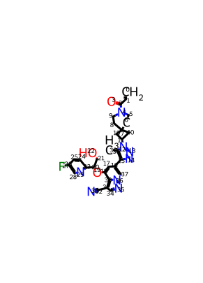 C=CC(=O)N1CCC2(CC1)CC(n1nnc(-c3cc(OC(CO)c4ccc(F)cn4)c4c(C#N)cnn4c3)c1C)C2